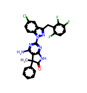 CC1(c2ccccc2)C(=O)Nc2nc(-n3nc(Cc4c(F)ccc(F)c4F)c4cc(Cl)ccc43)nc(N)c21